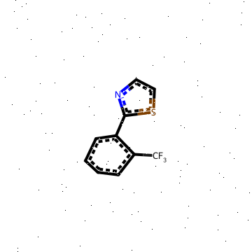 FC(F)(F)c1ccccc1-c1n[c]cs1